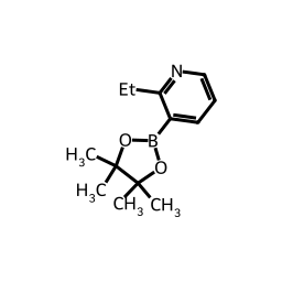 CCc1ncccc1B1OC(C)(C)C(C)(C)O1